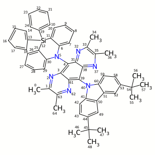 Cc1nc2c(N3c4ccccc4[Si](c4ccccc4)(c4ccccc4)c4ccccc43)c3nc(C)c(C)nc3c(-n3c4ccc(C(C)(C)C)cc4c4cc(C(C)(C)C)ccc43)c2nc1C